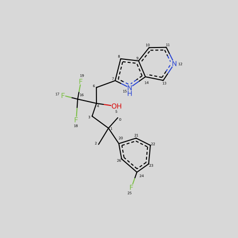 CC(C)(CC(O)(Cc1cc2ccncc2[nH]1)C(F)(F)F)c1cccc(F)c1